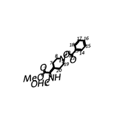 COC(=O)C(NC=O)=C1CCN(OC(=O)c2ccccc2)CC1